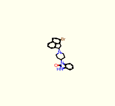 O=c1[nH]c2ccccc2n1C1CCN(C2Cc3c(Br)ccc4cccc2c34)CC1